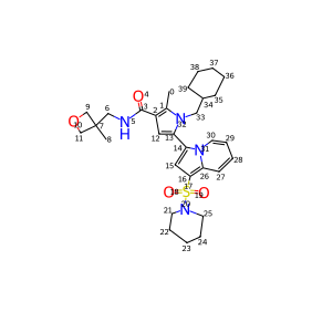 Cc1c(C(=O)NCC2(C)COC2)cc(-c2cc(S(=O)(=O)N3CCCCC3)c3ccccn23)n1CC1CCCCC1